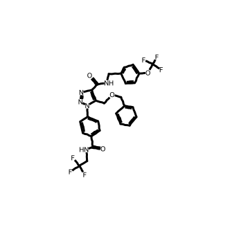 O=C(NCC(F)(F)F)c1ccc(-n2nnc(C(=O)NCc3ccc(OC(F)(F)F)cc3)c2COCc2ccccc2)cc1